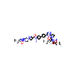 CNC(=O)N1CCN(c2ccc(C(=O)Nc3ccc(-c4ccc(-c5c[nH]c(C6CCCN6C(=O)[C@@H](NC(=O)OC)C(C)C)n5)cc4)cc3)cn2)CC1